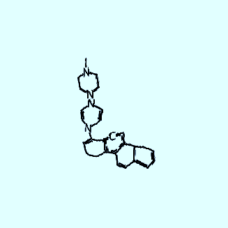 CN1CCN(N2C=CN(C3=CCCc4c3ccc3c4C=CC4=CC=CCC43)C=C2)CC1